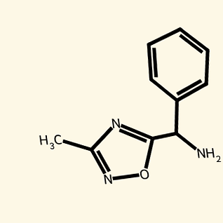 Cc1noc(C(N)c2ccccc2)n1